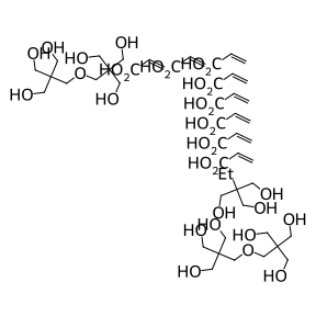 C=CC(=O)O.C=CC(=O)O.C=CC(=O)O.C=CC(=O)O.C=CC(=O)O.C=CC(=O)O.C=CC(=O)O.C=CC(=O)O.CCC(CO)(CO)CO.OCC(CO)(CO)COCC(CO)(CO)CO.OCC(CO)(CO)COCC(CO)(CO)CO